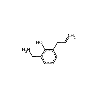 C=CCc1cccc(CN)c1O